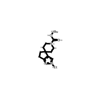 CCn1cc2c(n1)CCC21CCN(C(=O)OC(C)(C)C)CC1